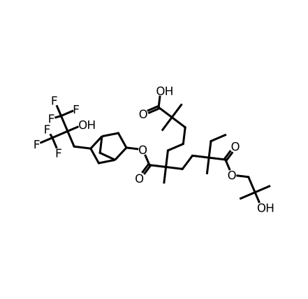 CCC(C)(CCC(C)(CCCC(C)(C)C(=O)O)C(=O)OC1CC2CC1CC2CC(O)(C(F)(F)F)C(F)(F)F)C(=O)OCC(C)(C)O